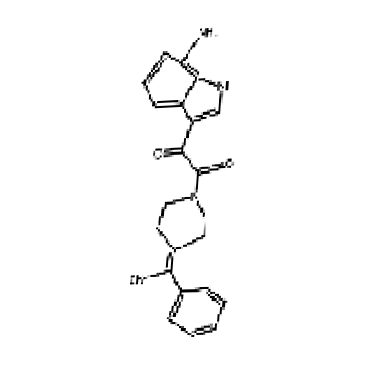 [C-]#[N+]C(=C1CCN(C(=O)C(=O)c2c[nH]c3c(N)cccc23)CC1)c1ccccc1